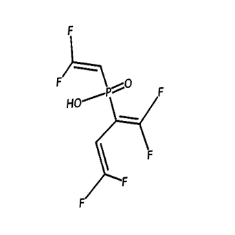 O=P(O)(C=C(F)F)C(C=C(F)F)=C(F)F